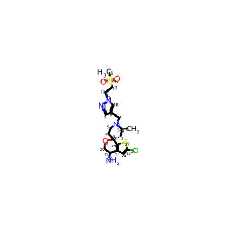 C[C@H]1C[C@@]2(CCN1Cc1cnn(CCS(C)(=O)=O)c1)OCC(N)c1cc(Cl)sc12